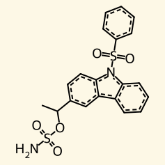 CC(OS(N)(=O)=O)c1ccc2c(c1)c1ccccc1n2S(=O)(=O)c1ccccc1